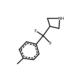 Cc1ccc(C(F)(F)C2CNC2)cc1